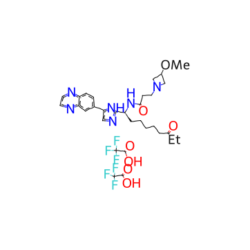 CCC(=O)CCCCC[C@H](NC(=O)CCN1CC(OC)C1)c1ncc(-c2ccc3nccnc3c2)[nH]1.O=C(O)C(F)(F)F.O=C(O)C(F)(F)F